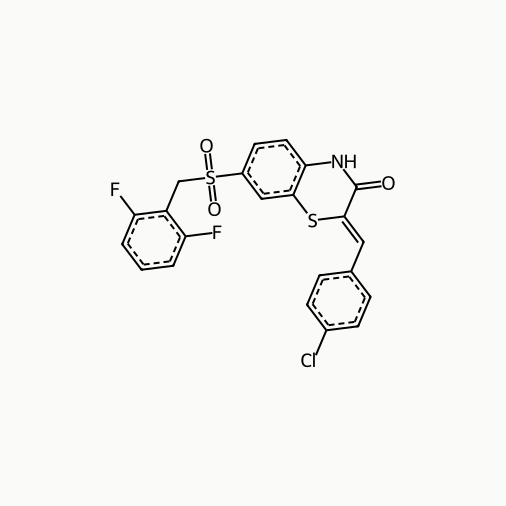 O=C1Nc2ccc(S(=O)(=O)Cc3c(F)cccc3F)cc2S/C1=C\c1ccc(Cl)cc1